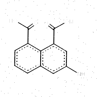 Nc1cc(C(=O)O)c2c(C(=O)O)cccc2c1